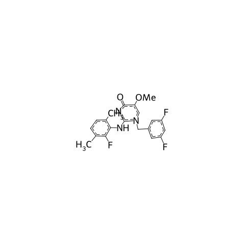 COc1cn(Cc2cc(F)cc(F)c2)c(Nc2c(C)ccc(C)c2F)nc1=O